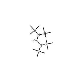 C[Si](C)(C)[N]([Pb][N]([Si](C)(C)C)[Si](C)(C)C)[Si](C)(C)C